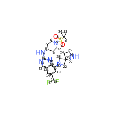 CC1(S(=O)(=O)N2CCC(Nc3ncc4cc(C(F)F)cc(N5CC6(CCNC6)C5)c4n3)CC2)CC1